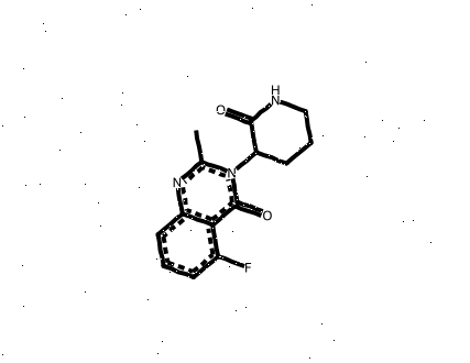 Cc1nc2cccc(F)c2c(=O)n1C1CCCNC1=O